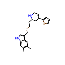 Cc1cc2[nH]cc(CSCCC3CC(c4cccs4)=CCN3)c2cc1C